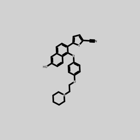 N#Cc1ccc(-c2ccc3cc(O)ccc3c2Oc2ccc(OCCN3CCCCC3)cc2)s1